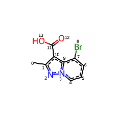 Cc1nn2cccc(Br)c2c1C(=O)O